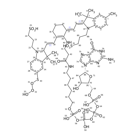 Cc1ccc2c(c1)C(C)(C)/C(=C/C=C1\CCCC(/C=C/C3=[N+](CCCS(=O)(=O)O)c4ccc(SOOO)cc4C3(C)C)=C1NCCC(=O)NCCCCCCOP(=O)(O)OP(=O)(O)OP(=O)(O)OP(=O)(O)OC[C@H]1O[C@@H](n3cnc4c(=O)[nH]c(N)nc43)CC1O)N2CCCS(=O)(=O)O